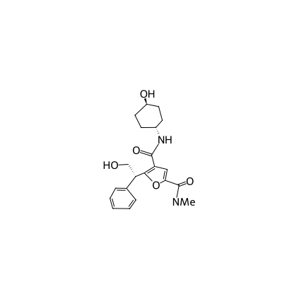 CNC(=O)c1cc(C(=O)N[C@H]2CC[C@H](O)CC2)c([C@@H](CO)c2ccccc2)o1